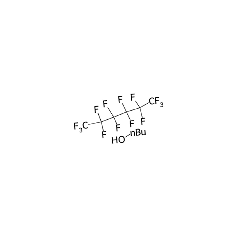 CCCCO.FC(F)(F)C(F)(F)C(F)(F)C(F)(F)C(F)(F)C(F)(F)F